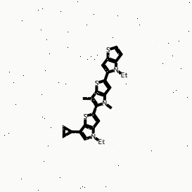 CCn1cc(C2CC2)c2sc(-c3c(C)c4sc(-c5cc6sccc6n5CC)cc4n3C)cc21